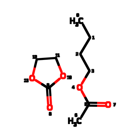 CCCCOC(C)=O.O=C1OCCO1